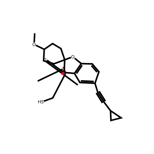 COC1CCC2(CC1)Oc1ccc(C#CC3CC3)cc1C21N=C(CS)N(C)C1=O